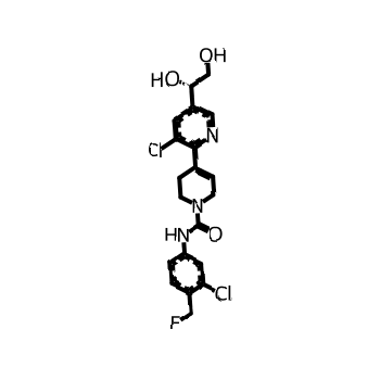 O=C(Nc1ccc(CF)c(Cl)c1)N1CC=C(c2ncc([C@H](O)CO)cc2Cl)CC1